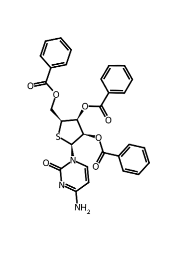 Nc1ccn([C@H]2S[C@@H](COC(=O)c3ccccc3)[C@@H](OC(=O)c3ccccc3)[C@H]2OC(=O)c2ccccc2)c(=O)n1